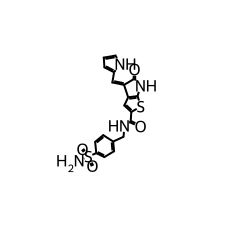 NS(=O)(=O)c1ccc(CNC(=O)c2cc3c(s2)NC(=O)C3=Cc2ccc[nH]2)cc1